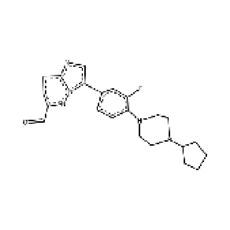 O=Cc1ccc2ncc(-c3ccc(N4CCN(C5CCCC5)CC4)c(F)c3)n2n1